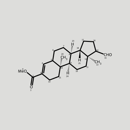 COC(=O)C1=CC2CC[C@@H]3[C@@H](CC[C@]4(C)C(C=O)CC[C@@H]34)[C@@]2(C)CC1